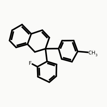 Cc1ccc(C2(c3ccccc3F)C=Cc3ccccc3C2)cc1